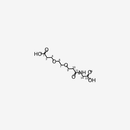 O=C(O)CCOCCOCCC(=O)NCC(=O)O